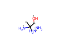 CC(C)(N)CO.NN